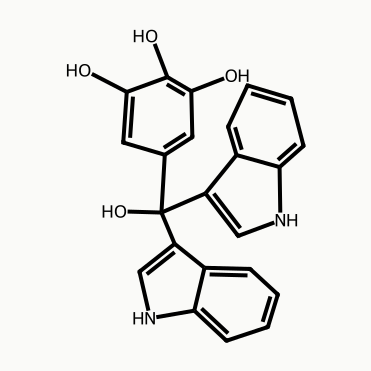 Oc1cc(C(O)(c2c[nH]c3ccccc23)c2c[nH]c3ccccc23)cc(O)c1O